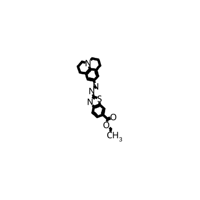 CCOC(=O)c1ccc2nc(/N=N/c3cc4c5c(c3)CCCN5CCC4)sc2c1